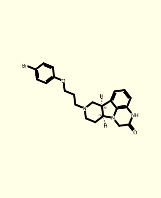 O=C1CN2c3c(cccc3[C@@H]3CN(CCCOc4ccc(Br)cc4)CC[C@@H]32)N1